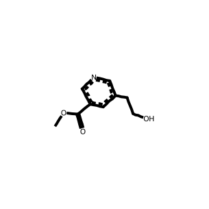 COC(=O)c1cncc(CCO)c1